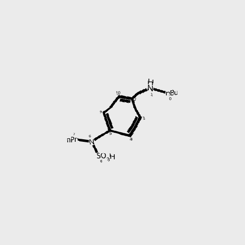 CCCCNc1ccc(N(CCC)S(=O)(=O)O)cc1